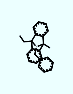 CCC12c3ccccc3C(C)(c3ccccc31)N2Cc1ccccc1